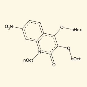 CCCCCCCCOc1c(OCCCCCC)c2ccc([N+](=O)[O-])cc2n(CCCCCCCC)c1=O